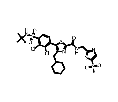 CC(C)(C)NS(=O)(=O)c1ccc(-c2sc(C(=O)NCc3ncc(S(C)(=O)=O)s3)nc2CC2CCCCC2)c(Cl)c1Cl